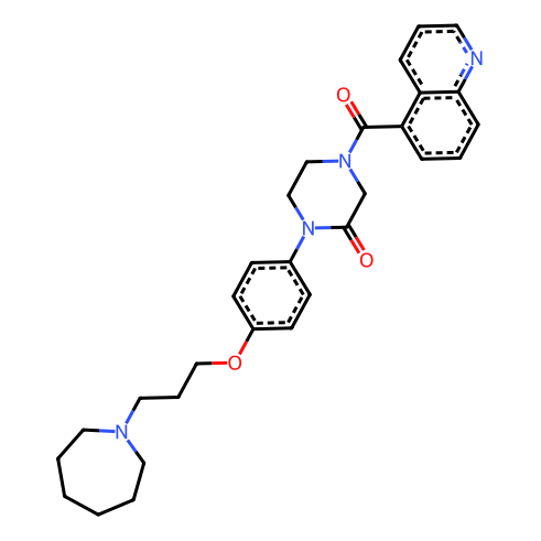 O=C(c1cccc2ncccc12)N1CCN(c2ccc(OCCCN3CCCCCC3)cc2)C(=O)C1